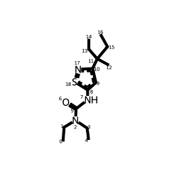 CCN(CC)C(=O)Nc1cc(C(C)(CC)CC)ns1